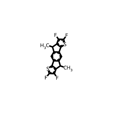 CC1c2cc3c(cc2-c2sc(F)c(F)c21)C(C)c1c-3sc(F)c1F